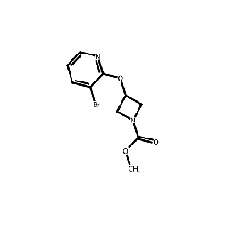 COC(=O)N1CC(Oc2ncccc2Br)C1